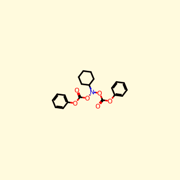 O=C(Oc1ccccc1)ON(OC(=O)Oc1ccccc1)C1CCCCC1